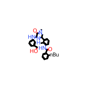 CCCCc1ccccc1C(=O)Nc1cccc(C2CN(C)C(=O)C(Nc3cccc(CO)c3)N2)c1C